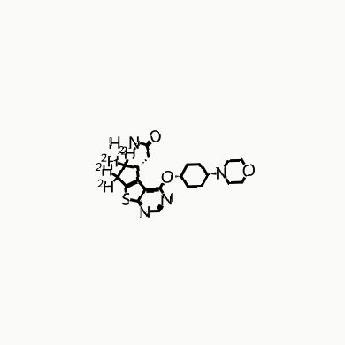 [2H]C1([2H])c2sc3ncnc(O[C@H]4CC[C@H](N5CCOCC5)CC4)c3c2[C@@H](CC(N)=O)C1([2H])[2H]